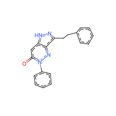 O=c1cc2[nH]nc(CCc3ccccc3)c2nn1-c1ccccc1